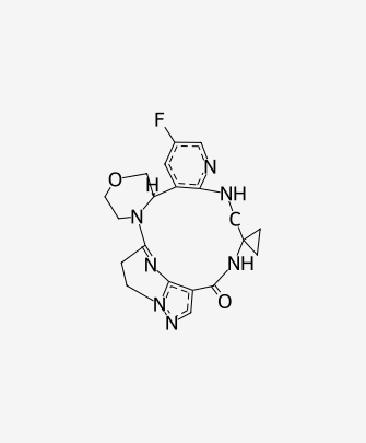 O=C1NC2(CC2)CNc2ncc(F)cc2[C@H]2COCCN2C2=Nc3c1cnn3CC2